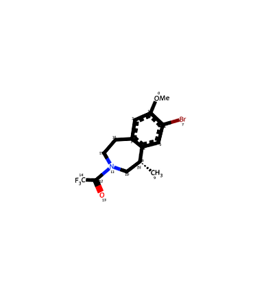 COc1cc2c(cc1Br)[C@H](C)CN(C(=O)C(F)(F)F)CC2